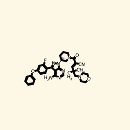 CC(C)(C=C(C#N)C(=O)N1CCC[C@@H](n2nc(-c3ccc(Oc4ccccc4)cc3F)c3c(N)ncnc32)C1)CN1CCOCC1